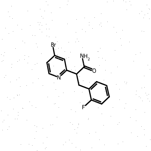 NC(=O)C(Cc1ccccc1F)c1cc(Br)ccn1